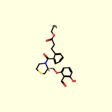 CCOC(=O)CCc1ccccc1C(=O)N1CCSC[C@H]1COc1cccc(O)c1C=O